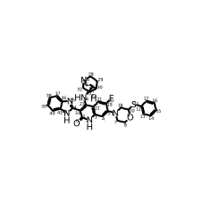 O=c1[nH]c2cc(N3CCOC(Sc4ccccc4)C3)c(F)cc2c(N[C@H]2CN3CCC2CC3)c1-c1nc2ccccc2[nH]1